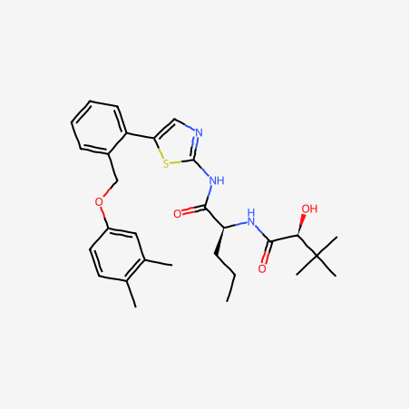 CCC[C@H](NC(=O)[C@@H](O)C(C)(C)C)C(=O)Nc1ncc(-c2ccccc2COc2ccc(C)c(C)c2)s1